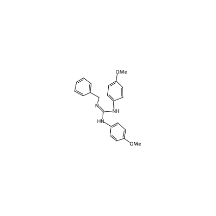 COc1ccc(NC(=NCc2ccccc2)Nc2ccc(OC)cc2)cc1